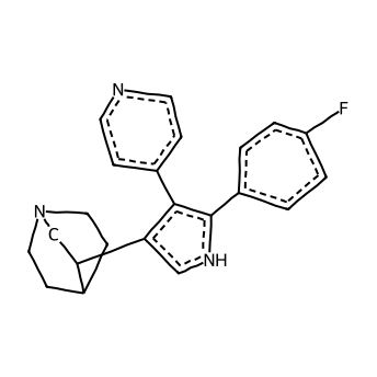 Fc1ccc(-c2[nH]cc(C3CN4CCC3CC4)c2-c2ccncc2)cc1